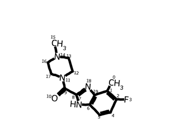 Cc1c(F)ccc2[nH]c(C(=O)N3CCN(C)CC3)nc12